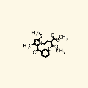 COC(=O)C(CCn1c(SC)cc(C)c1C(=O)c1ccccc1)C(=O)OC